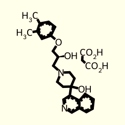 Cc1ccc(OC[C@@H](O)CN2CCC(O)(c3cncc4ccccc34)CC2)cc1C.O=C(O)CC(=O)O